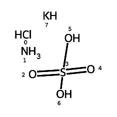 Cl.N.O=S(=O)(O)O.[KH]